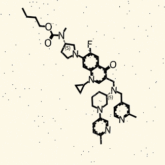 CCCCOC(=O)N(C)[C@H]1CCN(c2cc3c(cc2F)c(=O)c(CN(Cc2ccnc(C)c2)[C@H]2CCCN(c4ccc(C)nc4)C2)cn3C2CC2)C1